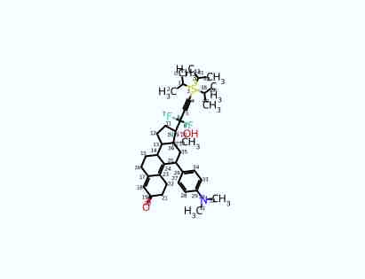 CC(C)S(C#CC(F)(F)[C@]1(O)CCC2C3CCC4=CC(=O)CCC4=C3C(c3ccc(N(C)C)cc3)C[C@@]21C)(C(C)C)C(C)C